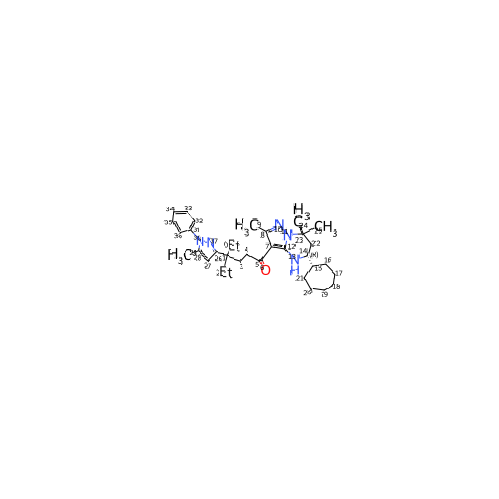 CCC(CC)(CCC(=O)c1c(C)nn2c1N[C@@H](C1CCCCCC1)CC2(C)C)c1cc(C)n(-c2ccccc2)n1